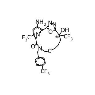 Nc1cc(C(F)(F)F)c2nc1-c1nnc(o1)[C@@](O)(C(F)(F)F)CCCCCN(Cc1ccc(C(F)(F)F)cc1)C2=O